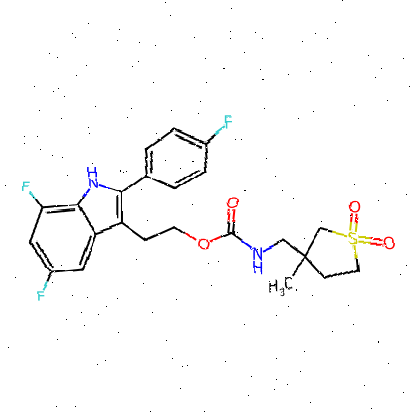 CC1(CNC(=O)OCCc2c(-c3ccc(F)cc3)[nH]c3c(F)cc(F)cc23)CCS(=O)(=O)C1